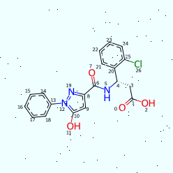 O=C(O)C[C@H](NC(=O)c1cc(O)n(-c2ccccc2)n1)c1ccccc1Cl